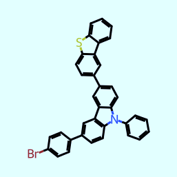 Brc1ccc(-c2ccc3c(c2)c2cc(-c4ccc5sc6ccccc6c5c4)ccc2n3-c2ccccc2)cc1